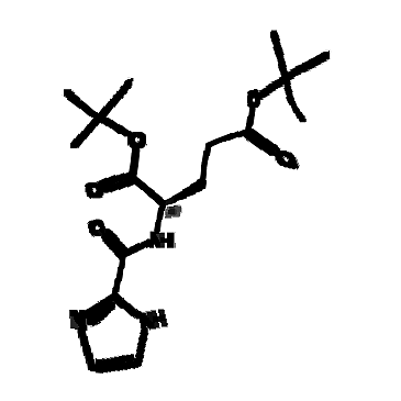 CC(C)(C)OC(=O)CC[C@@H](NC(=O)c1ncc[nH]1)C(=O)OC(C)(C)C